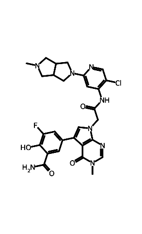 CN1CC2CN(c3cc(NC(=O)Cn4cc(-c5cc(F)c(O)c(C(N)=O)c5)c5c(=O)n(C)cnc54)c(Cl)cn3)CC2C1